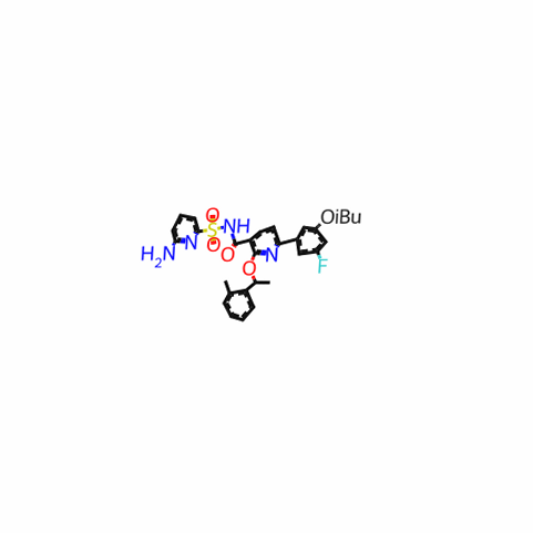 Cc1ccccc1C(C)Oc1nc(-c2cc(F)cc(OCC(C)C)c2)ccc1C(=O)NS(=O)(=O)c1cccc(N)n1